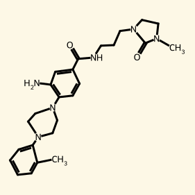 Cc1ccccc1N1CCN(c2ccc(C(=O)NCCCN3CCN(C)C3=O)cc2N)CC1